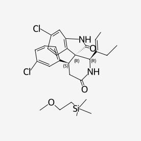 CC=C(CC)[C@H]1NC(=O)C[C@@H](c2cccc(Cl)c2)[C@]12C(=O)Nc1cc(Cl)ccc12.COCC[Si](C)(C)C